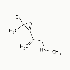 C=C(CNC)C1=CC1(C)Cl